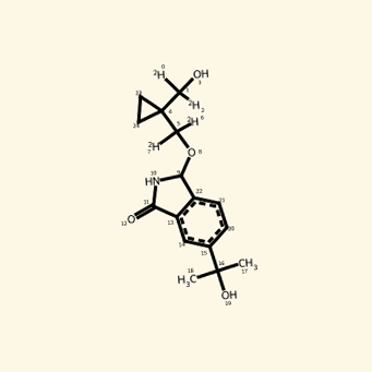 [2H]C([2H])(O)C1(C([2H])([2H])OC2NC(=O)c3cc(C(C)(C)O)ccc32)CC1